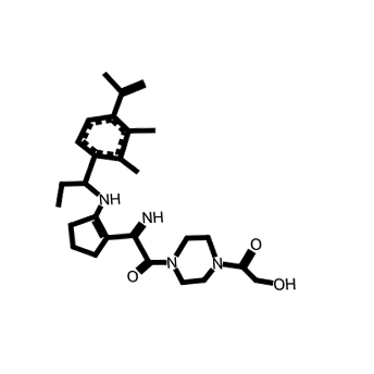 C=C(C)c1ccc(C(CC)NC2=C(C(=N)C(=O)N3CCN(C(=O)CO)CC3)CCC2)c(C)c1C